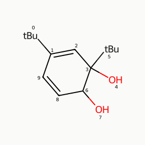 CC(C)(C)C1=CC(O)(C(C)(C)C)C(O)C=C1